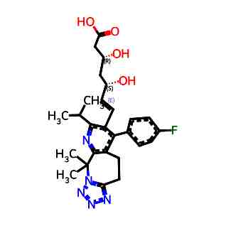 CC(C)c1nc2c(c(-c3ccc(F)cc3)c1/C=C/[C@@H](O)C[C@@H](O)CC(=O)O)CCc1nnnn1C2(C)C